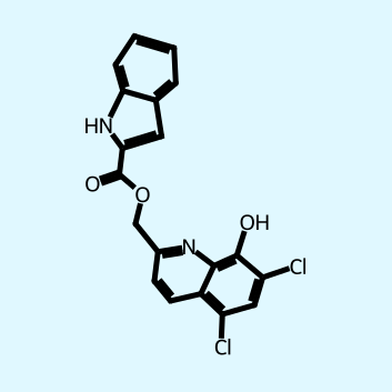 O=C(OCc1ccc2c(Cl)cc(Cl)c(O)c2n1)c1cc2ccccc2[nH]1